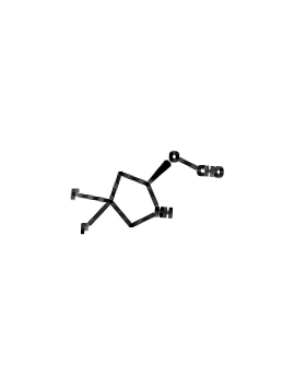 O=CO[C@@H]1CC(F)(F)CN1